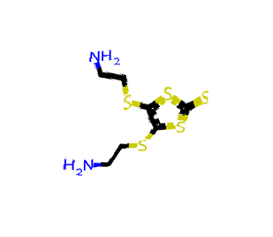 NCCSc1sc(=S)sc1SCCN